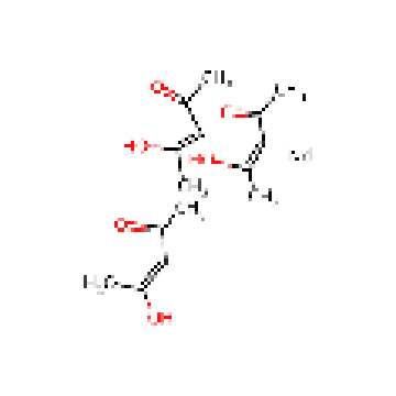 CC(=O)/C=C(/C)O.CC(=O)/C=C(/C)O.CC(=O)/C=C(\C)O.[Nd]